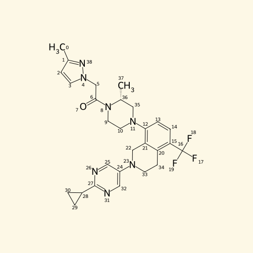 Cc1ccn(CC(=O)N2CCN(c3ccc(C(F)(F)F)c4c3CN(c3cnc(C5CC5)nc3)CC4)C[C@H]2C)n1